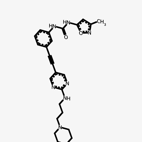 Cc1cc(NC(=O)Nc2cccc(C#Cc3cnc(NCCCN4CCCCC4)nc3)c2)on1